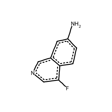 Nc1ccc2c(F)cncc2c1